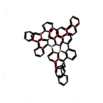 c1ccc(-c2cccc(-c3cccc(-c4cccc(-c5ccccc5)c4)c3N3c4cc(-c5ccccc5)cc5c4B(c4ccc6c(sc7ccccc76)c43)c3ccc4c(sc6ccccc64)c3N5c3c(-c4cccc(-c5ccccc5)c4)cccc3-c3cccc(-c4ccccc4)c3)c2)cc1